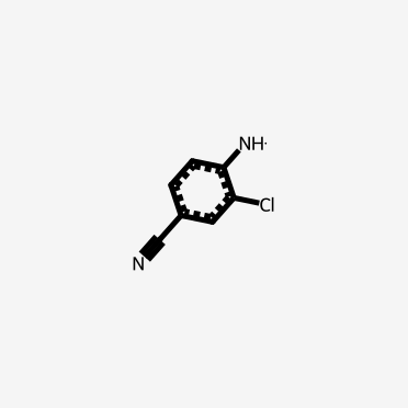 N#Cc1ccc([NH])c(Cl)c1